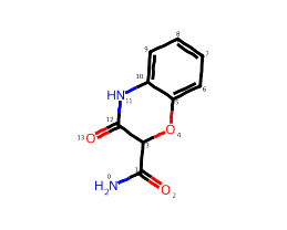 NC(=O)C1Oc2cc[c]cc2NC1=O